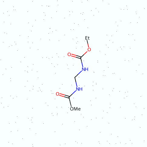 CCOC(=O)NCNC(=O)OC